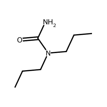 CCCN(CCC)C(N)=O